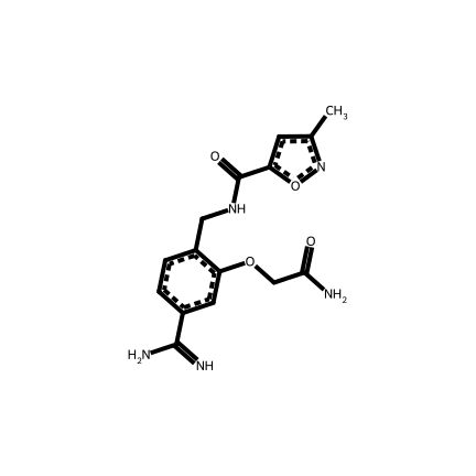 Cc1cc(C(=O)NCc2ccc(C(=N)N)cc2OCC(N)=O)on1